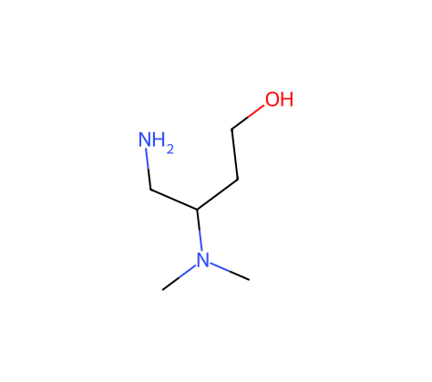 CN(C)C(CN)CCO